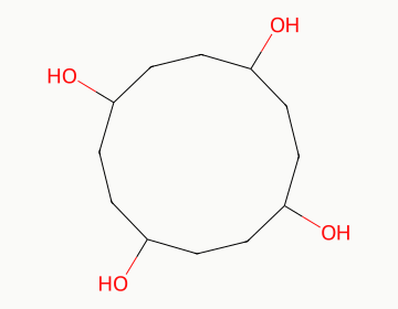 OC1CCC(O)CCC(O)CCC(O)CC1